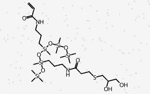 C=CC(=O)NCCC[Si](C)(O[Si](C)(C)O[Si](C)(C)C)O[Si](C)(CCCNC(=O)CCSCC(O)CO)O[Si](C)(C)C